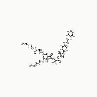 COCCOCC(=O)NCCCC[C@H](NC(=O)COCCOC)C(=O)NCC1(C(=O)ONC(=O)Cc2ccc(CCCCc3ccccc3)cc2)CC1